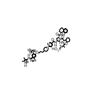 Cc1[nH]nc(Nc2ncnc3cc(OCCCC4CCN(c5ccc(C(=O)N[C@H]6C[C@@H](C(=O)N[C@@H]7CCCc8ccccc87)N(C(=O)[C@@H](NC(=O)C(C)N(C)C(=O)O)C7CCCCC7)C6)cn5)CC4)c(S(=O)(=O)C(C)(C)C)cc23)c1C